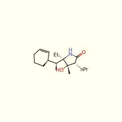 CCC[C@H]1C(=O)N[C@](CC)([C@@H](C)[C@@H]2C=CCCC2)[C@@]1(C)O